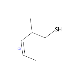 C/C=C\C(C)CS